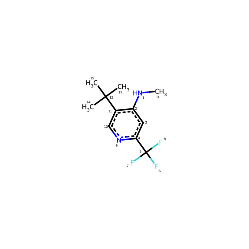 CNc1cc(C(F)(F)F)ncc1C(C)(C)C